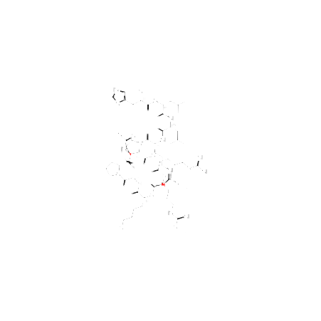 CC(C)C[C@H](NC(=O)[C@H](CC(C)C)NC(=O)[C@@H](N)Cc1c[nH]cn1)C(=O)N[C@@H](CCCNC(=N)N)C(=O)N1CCC[C@H]1C(=O)N[C@@H](CCCNC(=N)N)C(=O)N[C@@H](CCCNC(=N)N)C(=O)N[C@@H](CCCCN)C(=O)N[C@@H](CCCNC(=N)N)C(=O)N1CCC[C@H]1C(=O)O